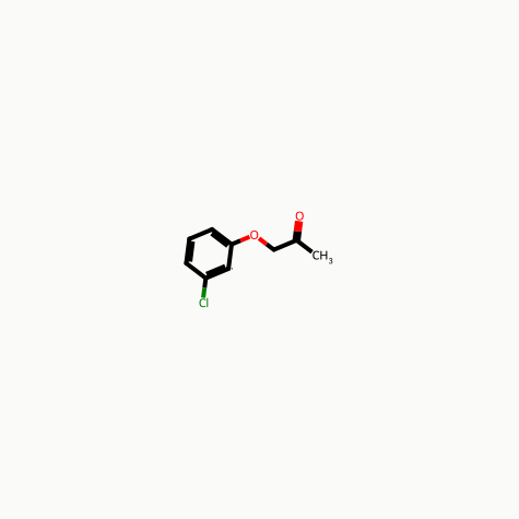 CC(=O)COc1[c]c(Cl)ccc1